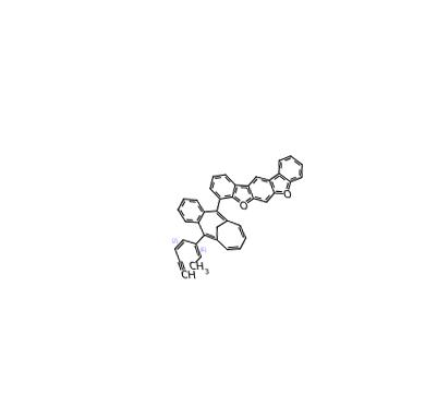 C#C/C=C\C(=C/C)C1=C2C=CC=CC(=C(c3cccc4c3oc3cc5oc6ccccc6c5cc34)c3ccccc31)C2